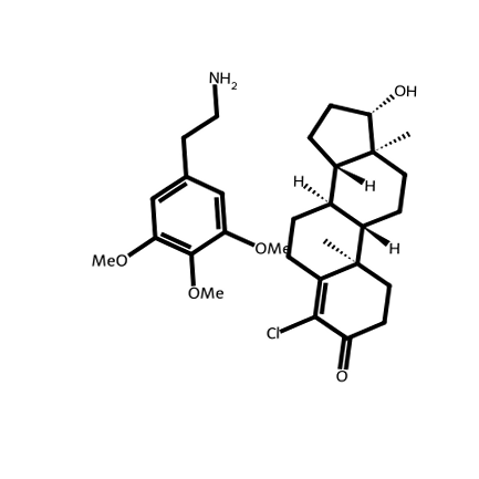 COc1cc(CCN)cc(OC)c1OC.C[C@]12CC[C@H]3[C@@H](CCC4=C(Cl)C(=O)CC[C@@]43C)[C@@H]1CC[C@@H]2O